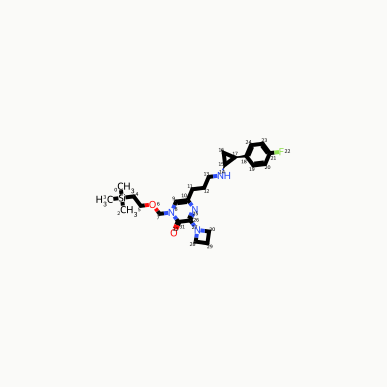 C[Si](C)(C)CCOCn1cc(CCCN[C@@H]2C[C@H]2c2ccc(F)cc2)nc(N2CCC2)c1=O